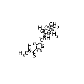 CNC(=S)c1csc(CNC(=O)OC(C)(C)C)c1